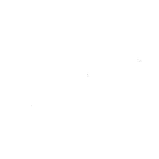 NCc1ccc(N2CCC(c3ccc(OC(F)(F)F)cc3)CC2)c(F)c1